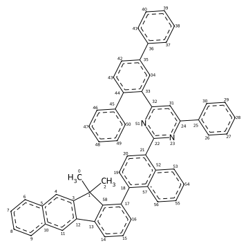 CC1(C)c2cc3ccccc3cc2-c2cccc(-c3ccc(-c4nc(-c5ccccc5)cc(-c5cc(-c6ccccc6)ccc5-c5ccccc5)n4)c4ccccc34)c21